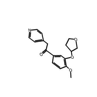 COc1ccc(C(=O)Cc2ccncc2)cc1OC1CCOC1